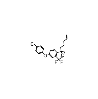 C=CCCCC1(c2ccc(Oc3ccc(Cl)cc3)cc2C(F)(F)F)CO1